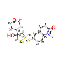 Cn1c(=O)ccc2cc(SC3(C)CC(O)(C4CCOCC4)CS3)ccc21